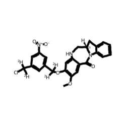 [2H]C([2H])(Cl)c1cc([N+](=O)[O-])cc(C([2H])([2H])Oc2cc3c(cc2OC)C(=O)N2c4ccccc4C[C@H]2CN3)c1